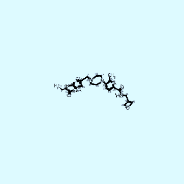 CCc1nc2sc(CN3CCN(c4ccc(C(=O)NCC5COC5)nc4C)CC3)cc2[nH]c1=O